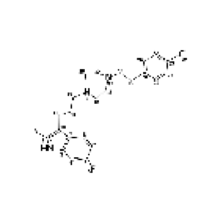 Cc1[nH]c2cc(F)ccc2c1CCCN1CCN(CCc2ccc(Cl)cc2)CC1